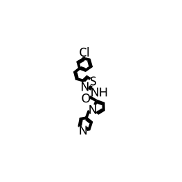 O=C(Nc1nc(/C=C\c2cccc(Cl)c2)cs1)c1cccn1Cc1ccncc1